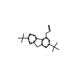 C=CCc1cc(C(C)(C)C)cc2c1-c1ccc(C(C)(C)C)cc1C2